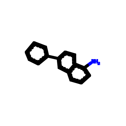 Nc1cccc2cc(-c3ccccc3)ccc12